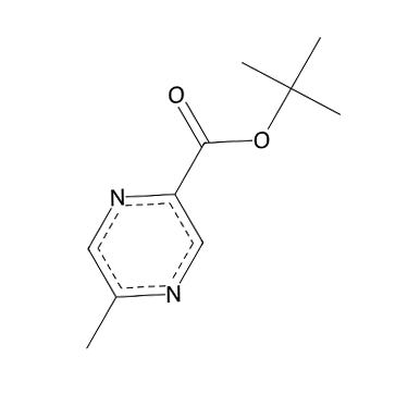 Cc1cnc(C(=O)OC(C)(C)C)cn1